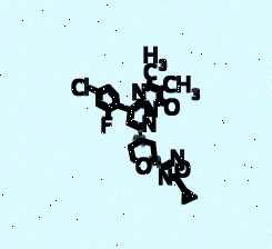 Cc1nc2c(-c3ccc(Cl)cc3F)cc([C@H]3CCO[C@@H](c4noc(C5CC5)n4)C3)nn2c(=O)c1C